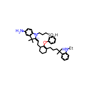 CCNc1ccccc1C(C)(C)CCCC1=C(Oc2ccccc2)C(C/C=C2/N(CCCS(=O)(=O)O)c3ccc(N)cc3C2(C)C)CCC1